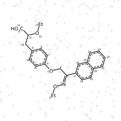 CCON=C(COc1ccc(CC(OCC)C(=O)O)cc1)c1ccc2ccccc2c1